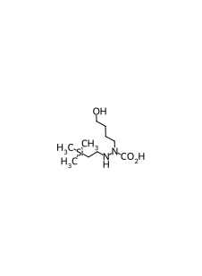 C[Si](C)(C)CCNN(CCCCO)C(=O)O